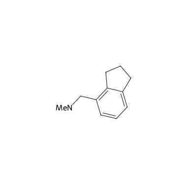 CNCc1cccc2c1CCC2